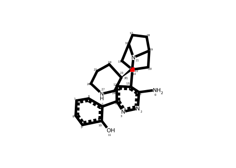 Nc1nnc(-c2ccccc2O)cc1N1CC2CCC(C1)N2C[C@@H]1CCCNC1